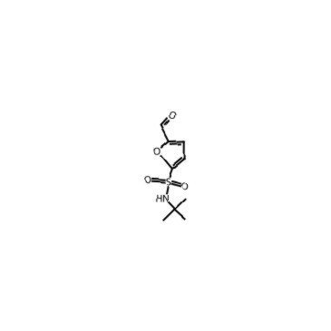 CC(C)(C)NS(=O)(=O)c1ccc(C=O)o1